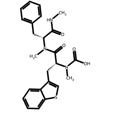 CNC(=O)[C@@H](Cc1ccccc1)N(C)C(=O)[C@@H](Cc1csc2ccccc12)N(C)C(=O)O